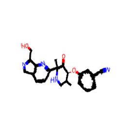 CC1CNC(C)(C2=NC3C(CO)=NCC3C=C2)C(=O)[C@@H]1Oc1cccc(C#N)c1